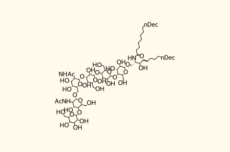 CCCCCCCCCCCCC/C=C/[C@@H](O)[C@H](CO[C@@H]1OC(CO)[C@@H](O[C@@H]2OC(CO)[C@H](O[C@@H]3OC(CO)[C@H](O)[C@H](O[C@@H]4OC(CO[C@@H]5OC(CO)[C@@H](O[C@@H]6OC(CO)[C@H](O)[C@H](O)C6O)[C@H](O)C5NC(C)=O)[C@H](O)[C@H](O)C4NC(C)=O)C3O)[C@H](O)C2O)[C@H](O)C1O)NC(=O)CCCCCCCCCCCCCCCCC